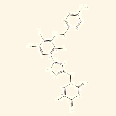 COc1ccc(COc2c(F)c(F)cc(-c3nc(Cn4cc(C)c(=O)[nH]c4=O)no3)c2F)cc1